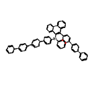 c1ccc(-c2ccc(-c3ccc(-c4ccc(N(c5ccccc5)c5c(-c6ccc(-c7ccc(-c8ccccc8)cc7)cc6)c6ccccc6c6ccccc56)cc4)cc3)cc2)cc1